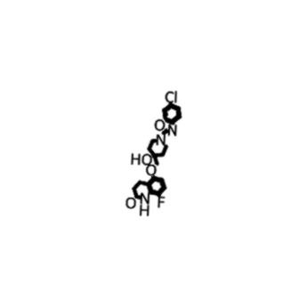 O=C1CCc2c(OCC3(O)CCN(c4nc5ccc(Cl)cc5o4)CC3)ccc(F)c2N1